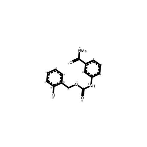 CNC(=O)c1cccc(NC(=O)OCc2ccccc2Cl)c1